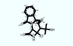 COC(=O)C(C(C)(C)S)C1(Cl)NC(=O)C1N1C(=O)c2ccccc2C1=O